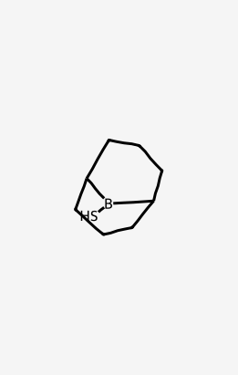 SB1C2CCCC1CCC2